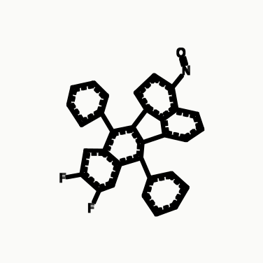 O=Nc1ccc2c3c(cccc13)-c1c-2c(-c2ccccc2)c2cc(F)c(F)cc2c1-c1ccccc1